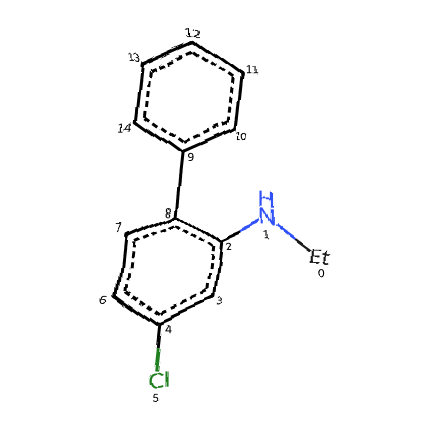 CCNc1cc(Cl)ccc1-c1ccccc1